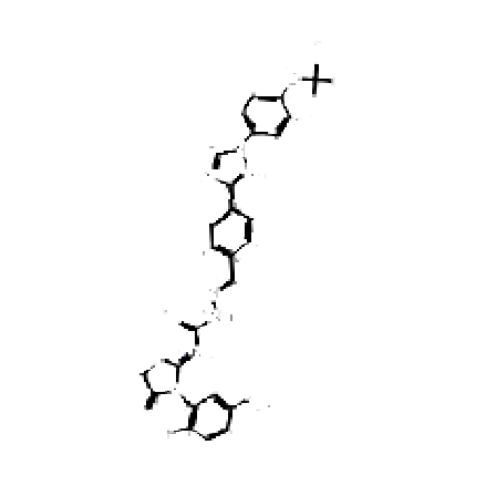 Cc1ccc(Cl)c(N2C(=O)CS/C2=N\C(=S)N/N=C/c2ccc(-c3ncn(-c4ccc(OC(F)(F)F)cc4)n3)cc2)c1